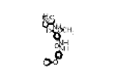 CCC(NC(=O)c1ccc(NC(=O)Nc2ccc(Oc3ccccc3)cc2)cc1OC)C1CCCN1